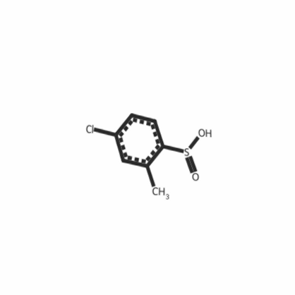 Cc1cc(Cl)ccc1S(=O)O